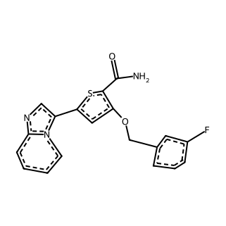 NC(=O)c1sc(-c2cnc3ccccn23)cc1OCc1cccc(F)c1